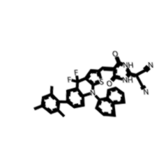 Cc1cc(C)c(-c2ccc3c(c2)C(F)(F)c2cc(C=c4c(=O)[nH]c(=C(C#N)C#N)[nH]c4=O)sc2N3c2cccc3ccccc23)c(C)c1